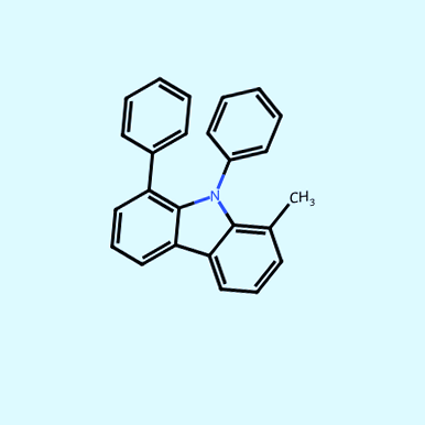 Cc1cccc2c3cccc(-c4ccccc4)c3n(-c3ccccc3)c12